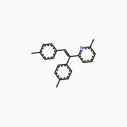 Cc1ccc(/C=C(\c2ccc(C)cc2)c2cccc(C)n2)cc1